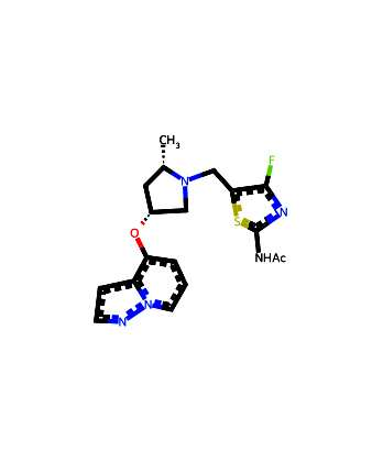 CC(=O)Nc1nc(F)c(CN2C[C@H](Oc3cccn4nccc34)C[C@@H]2C)s1